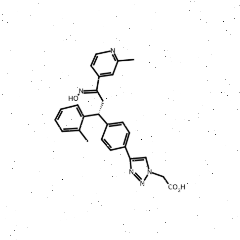 Cc1cc(/C(C[C@H](c2ccc(-c3cn(CC(=O)O)nn3)cc2)c2ccccc2C)=N/O)ccn1